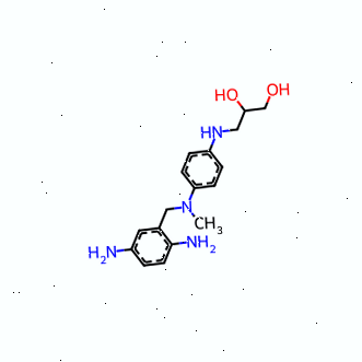 CN(Cc1cc(N)ccc1N)c1ccc(NCC(O)CO)cc1